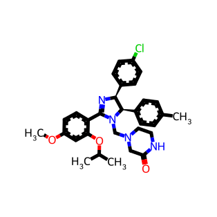 COc1ccc(C2=N[C@@H](c3ccc(Cl)cc3)[C@@H](c3ccc(C)cc3)N2CN2CCNC(=O)C2)c(OC(C)C)c1